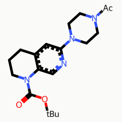 CC(=O)N1CCN(c2cc3c(cn2)N(C(=O)OC(C)(C)C)CCC3)CC1